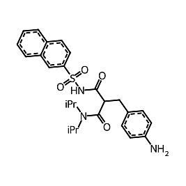 CC(C)N(C(=O)C(Cc1ccc(N)cc1)C(=O)NS(=O)(=O)c1ccc2ccccc2c1)C(C)C